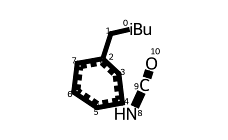 CCC(C)Cc1ccccc1.N=C=O